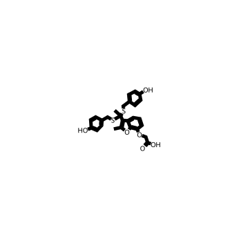 Cc1oc2c(OCC(=O)O)cccc2c1C(C)(SCc1ccc(O)cc1)SCc1ccc(O)cc1